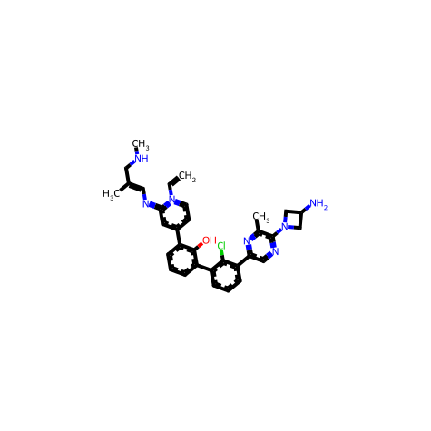 C=Cn1ccc(-c2cccc(-c3cccc(-c4cnc(N5CC(N)C5)c(C)n4)c3Cl)c2O)c/c1=N/C=C(\C)CNC